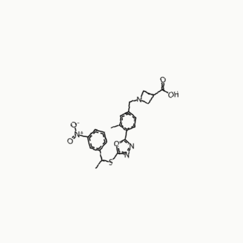 Cc1cc(CN2CC(C(=O)O)C2)ccc1-c1nnc(SC(C)c2cccc([N+](=O)[O-])c2)o1